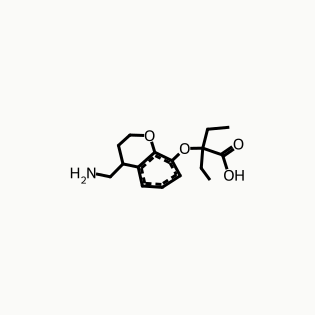 CCC(CC)(Oc1cccc2c1OCCC2CN)C(=O)O